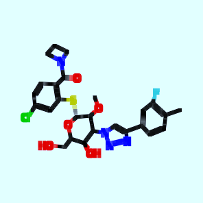 COC1C(n2cc(-c3ccc(C)c(F)c3)nn2)[C@@H](O)C(CO)O[C@@H]1Sc1cc(Cl)ccc1C(=O)N1CCC1